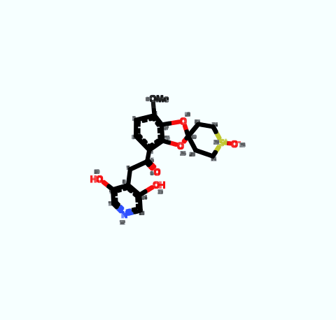 COc1ccc(C(=O)Cc2c(O)cncc2O)c2c1OC1(CC[S+]([O-])CC1)O2